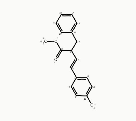 COC(=O)C(C=Cc1ccc(O)cc1)Cc1ccccc1